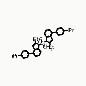 CCC1=Cc2c(-c3ccc(C(C)C)cc3)cccc2C1[Si](C)(C)C1C(CC)=Cc2c(-c3ccc(C(C)C)cc3)cccc21